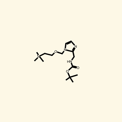 CC(C)(C)OC(=O)NCc1nccn1COCC[Si](C)(C)C